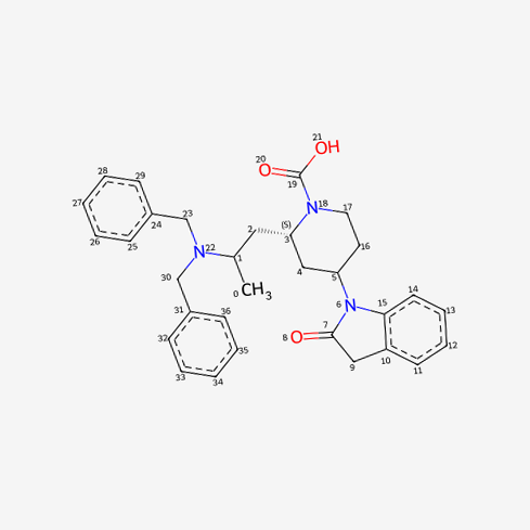 CC(C[C@H]1CC(N2C(=O)Cc3ccccc32)CCN1C(=O)O)N(Cc1ccccc1)Cc1ccccc1